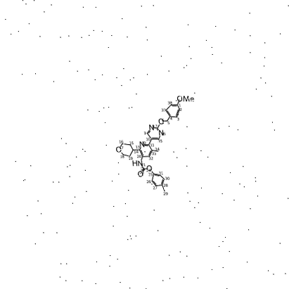 COc1ccc(COc2ncc(-c3nc(C4CCOCC4)c(NC(=O)Oc4ccc(C)cc4)cc3C)cn2)cc1